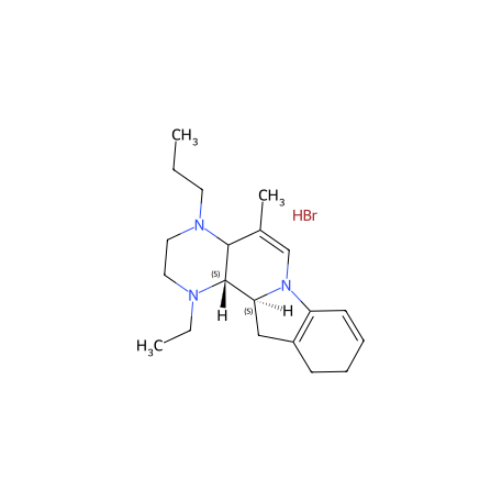 Br.CCCN1CCN(CC)[C@@H]2C1C(C)=CN1C3=C(CCC=C3)C[C@@H]21